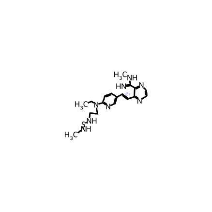 CCN(CCNSNC)c1ccc(/C=C/c2nccnc2C(=N)NC)cn1